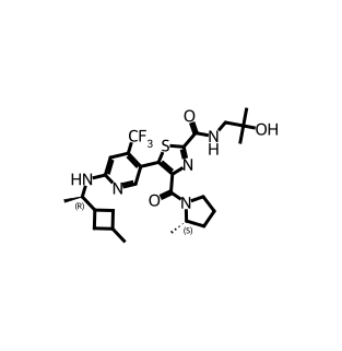 CC1CC([C@@H](C)Nc2cc(C(F)(F)F)c(-c3sc(C(=O)NCC(C)(C)O)nc3C(=O)N3CCC[C@@H]3C)cn2)C1